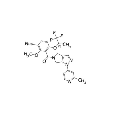 COc1c(C#N)ccc(O[C@@H](C)C(F)(F)F)c1C(=O)N1Cc2cnn(-c3ccnc(C)c3)c2C1